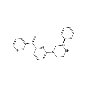 O=C(c1cccnc1)c1cccc(N2CCN[C@H](c3ccccc3)C2)n1